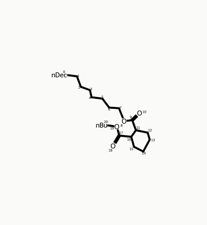 CCCCCCCCCCCCCCCCCOC(=O)C1CCCCC1C(=O)OCCCC